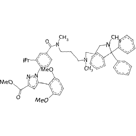 COC(=O)c1cc(-c2c(OC)cccc2OC)n(-c2ccc(C(=O)N(C)CCCN(C)CCCN(C)C(c3ccccc3)(c3ccccc3)c3ccccc3)cc2C(C)C)n1